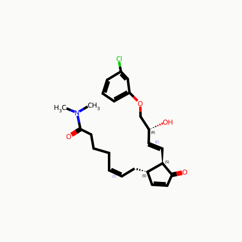 CN(C)C(=O)CCC/C=C\C[C@H]1C=CC(=O)[C@@H]1/C=C/[C@@H](O)COc1cccc(Cl)c1